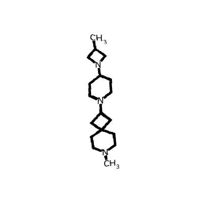 CC1CN(C2CCN(C3CC4(CCN(C)CC4)C3)CC2)C1